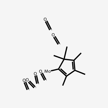 CC1=C(C)C(C)(C)[C]([Mo])=C1C.[C]=O.[C]=O.[C]=O.[C]=O.[C]=O.[C]=O